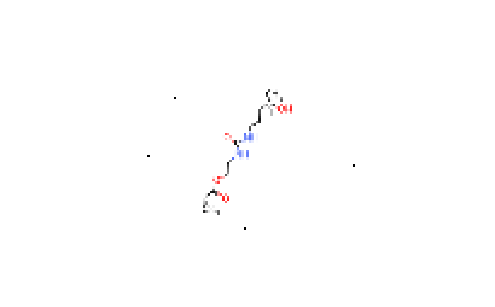 C=CC(=O)OCCNC(=O)NCCC[SiH](C)O